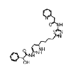 O=C(Cc1ccccn1)Nc1nnc(CCCCC2=CC=C(NC(=O)C(O)c3ccccc3)NN2)s1